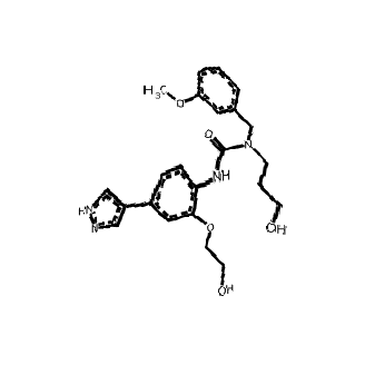 COc1cccc(CN(CCCO)C(=O)Nc2ccc(-c3cn[nH]c3)cc2OCCO)c1